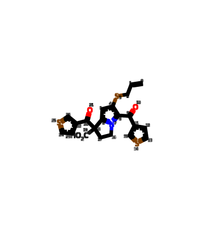 C=CCSc1cc2n(c1C(=O)c1ccsc1)CCC2(C(=O)O)C(=O)c1ccsc1